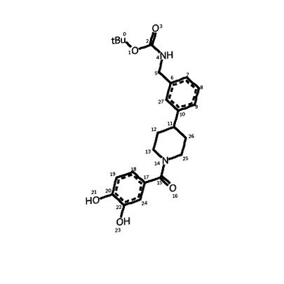 CC(C)(C)OC(=O)NCc1cccc(C2CCN(C(=O)c3ccc(O)c(O)c3)CC2)c1